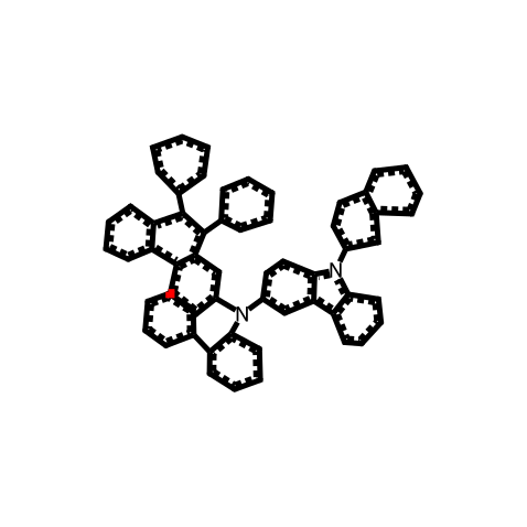 c1ccc(-c2ccccc2N(c2ccc3c(c2)c(-c2ccccc2)c(-c2ccccc2)c2ccccc23)c2ccc3c(c2)c2ccccc2n3-c2ccc3ccccc3c2)cc1